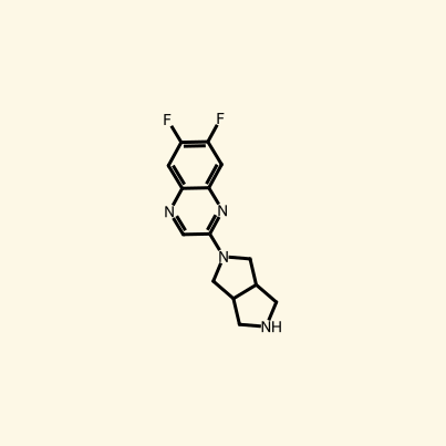 Fc1cc2ncc(N3CC4CNCC4C3)nc2cc1F